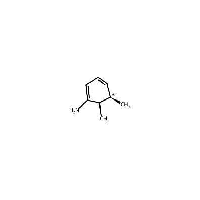 CC1C(N)=CC=C[C@H]1C